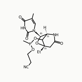 CC[C@]12CC(=O)N[C@@H](C1OP(C)OCCC#N)[C@H](n1cc(C)c(=O)[nH]c1=O)O2